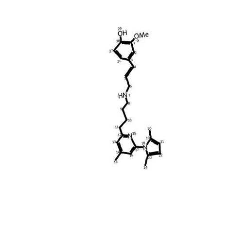 COc1cc(C=CCNCCCCc2cc(C)cc(-n3c(C)ccc3C)n2)ccc1O